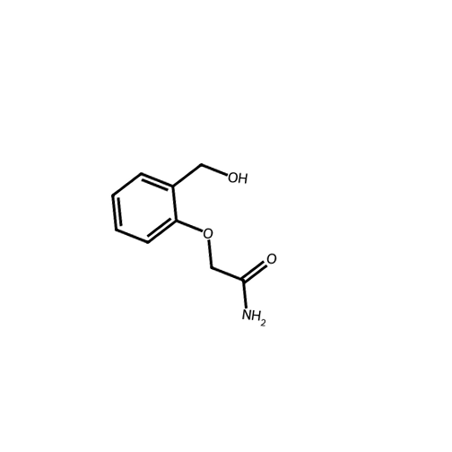 NC(=O)COc1ccccc1CO